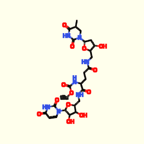 CC1CN(C2CC(O)C(CNC(=O)CCC(NC(=O)OC(C)(C)C)C(=O)NCC3OC(n4ccc(=O)[nH]c4=O)C(O)C3O)O2)C(=O)NC1=O